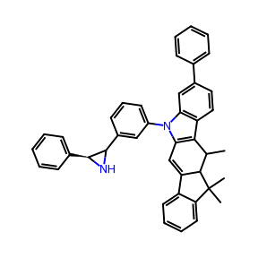 CC1c2c(n(-c3cccc(C4N[C@H]4c4ccccc4)c3)c3cc(-c4ccccc4)ccc23)C=C2c3ccccc3C(C)(C)C21